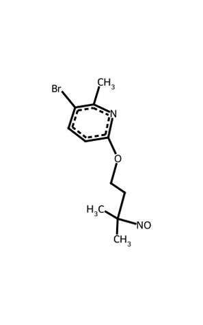 Cc1nc(OCCC(C)(C)N=O)ccc1Br